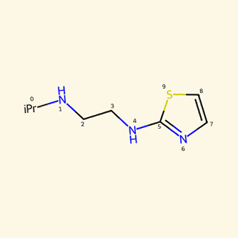 CC(C)NCCNc1nccs1